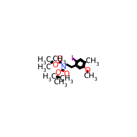 COc1cc(CCN(C(=O)OC(C)(C)C)C(=O)OC(C)(C)C)c(I)cc1C